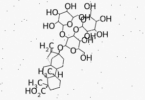 C=C1C[C@@]23CCC4[C@](C)(C(=O)O)CCC[C@@]4(C)[C@@H]2CC[C@]1(OC1OC(CO)C(O)C(OC2OC(CO)C(O)C(O)C2O)C1OC1OC(CO)C(O)C(O)C1O)C3